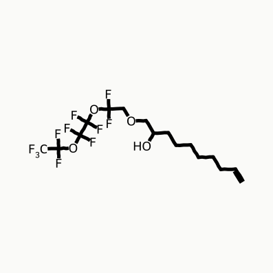 C=CCCCCCCC(O)COCC(F)(F)OC(F)(F)C(F)(F)OC(F)(F)C(F)(F)F